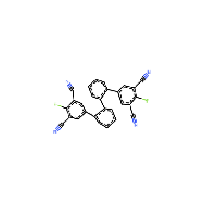 N#Cc1cc(-c2ccccc2-c2ccccc2-c2cc(C#N)c(F)c(C#N)c2)cc(C#N)c1F